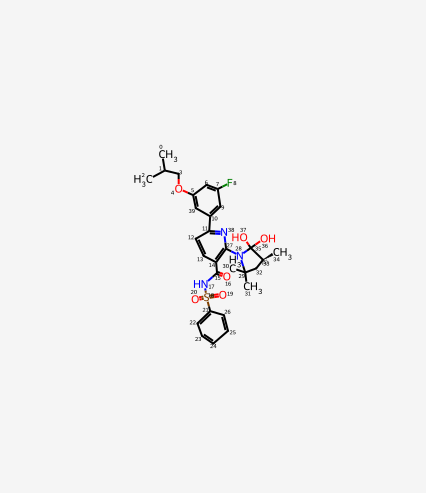 CC(C)COc1cc(F)cc(-c2ccc(C(=O)NS(=O)(=O)c3ccccc3)c(N3C(C)(C)C[C@H](C)C3(O)O)n2)c1